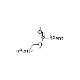 CCCCCCO[PH](=O)CCCCC